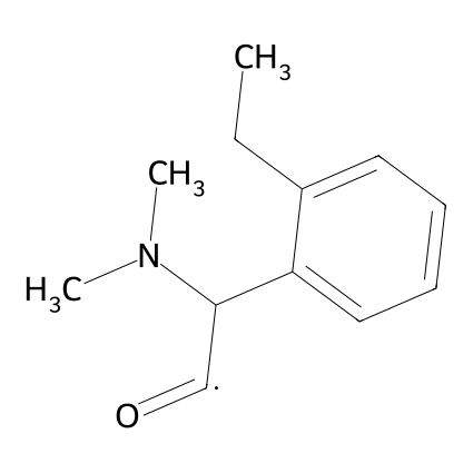 CCc1ccccc1C([C]=O)N(C)C